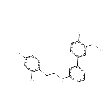 CCOc1cc(-c2cc(NCCc3ccc(C(F)(F)F)cc3OC)ncn2)ccc1C(=O)O